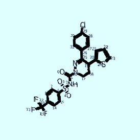 O=C(NS(=O)(=O)c1ccc(C(F)(F)F)cc1)N1CCC(c2cccs2)C(c2ccc(Cl)cc2)=N1